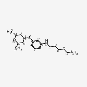 CC1CN(Sc2cccc(NCCCCCN)c2)CC(C)O1